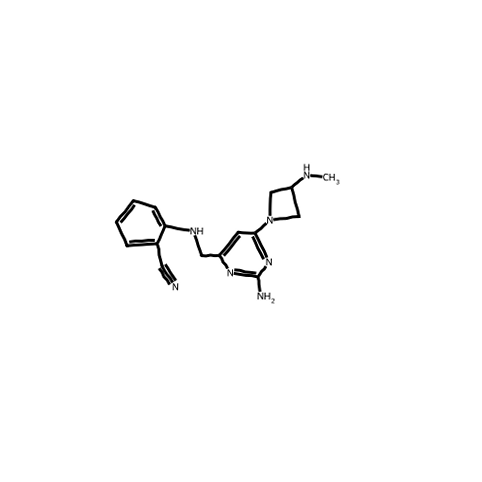 CNC1CN(c2cc(CNc3ccccc3C#N)nc(N)n2)C1